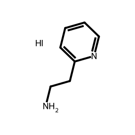 I.NCCc1ccccn1